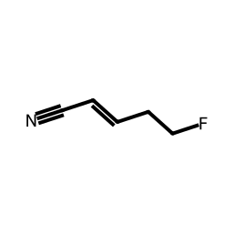 N#CC=CCCF